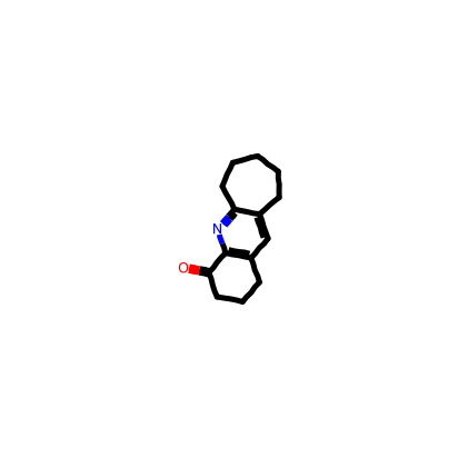 O=C1CCCc2cc3c(nc21)CCCCC3